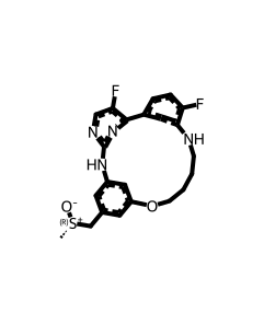 C[S@+]([O-])Cc1cc2cc(c1)OCCCCNc1cc(ccc1F)-c1nc(ncc1F)N2